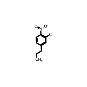 CCCc1ccc([N+](=O)[O-])c(Cl)c1